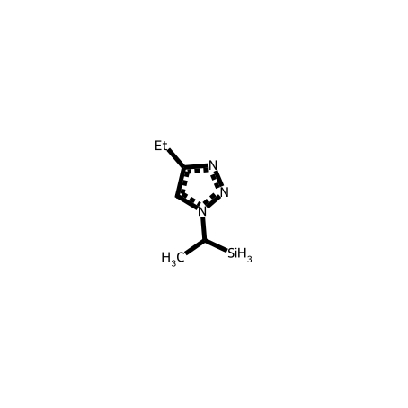 CCc1cn(C(C)[SiH3])nn1